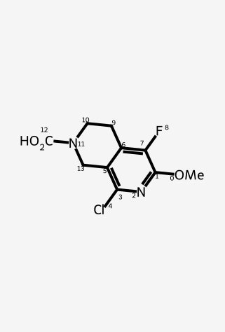 COc1nc(Cl)c2c(c1F)CCN(C(=O)O)C2